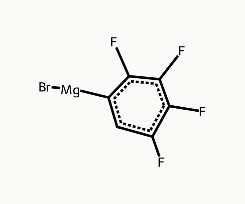 Fc1c[c]([Mg][Br])c(F)c(F)c1F